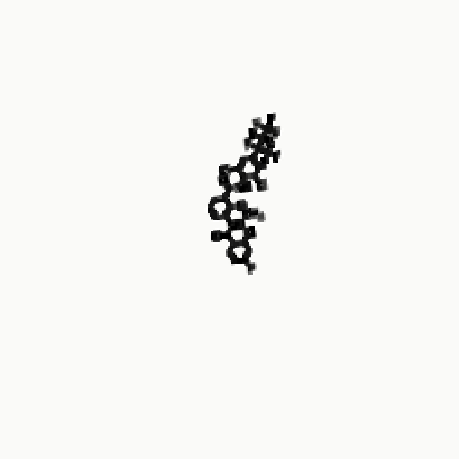 COc1c(NC(=O)c2ccc(F)cc2Cl)cccc1C(=O)Nc1c(Cl)cc(C(F)(C(F)(F)F)C(F)(F)C(F)(F)F)cc1Cl